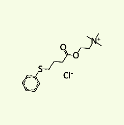 C[N+](C)(C)CCOC(=O)CCCSc1ccccc1.[Cl-]